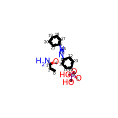 C=CC(N)=O.O=P(O)(O)Oc1ccc(/N=N/c2ccccc2)cc1